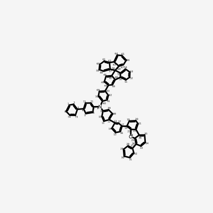 c1ccc(-c2ccc(N(c3ccc(-c4cccc(-c5cccc6c5oc5c(-c7ccccc7)cccc56)c4)cc3)c3ccc(-c4ccc5c(c4)-c4ccccc4C54c5ccccc5-c5ccccc54)cc3)cc2)cc1